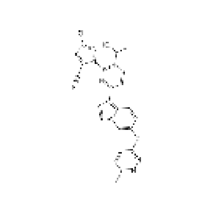 Cc1ccc(Oc2ccc3c(-c4ccc(C(C)O)c(-n5nc(Cl)cc5C#N)n4)cnn3c2)nn1